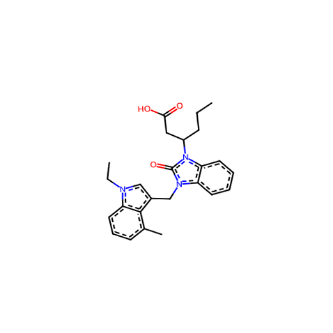 CCCC(CC(=O)O)n1c(=O)n(Cc2cn(CC)c3cccc(C)c23)c2ccccc21